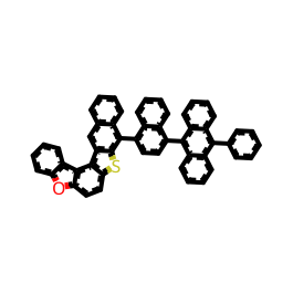 c1ccc(-c2c3ccccc3c(-c3ccc(-c4c5ccccc5cc5c4sc4ccc6oc7ccccc7c6c45)c4ccccc34)c3ccccc23)cc1